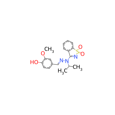 COc1cc(C=NN(C2=NS(=O)(=O)c3ccccc32)C(C)C)ccc1O